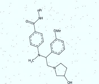 CCCNC(=O)c1ccc(N(C)C(CN2CCC(O)C2)c2cccc(OC)c2)cc1